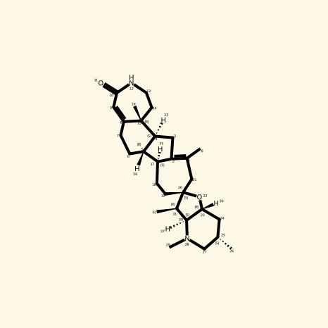 CC1=C2C[C@H]3[C@@H](CCC4=CC(=O)NCC[C@@]43C)[C@@H]2CC[C@@]2(C1)O[C@@H]1C[C@H](C)CN(C)[C@H]1[C@H]2C